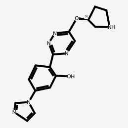 Oc1cc(-n2ccnc2)ccc1-c1ncc(O[C@H]2CCNC2)nn1